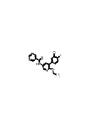 O=C(Nc1cnc(OCC(F)(F)F)c(-c2ccc(F)c(Cl)c2)c1)c1cncnc1